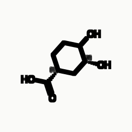 O=C(O)[C@@H]1CCC(O)[C@H](O)C1